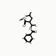 COC(=O)C(CC(C)C)C(C)OC(=O)c1ccccc1